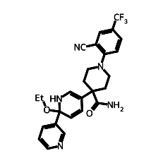 CCOC1(c2cccnc2)C=CC(C2(C(N)=O)CCN(c3ccc(C(F)(F)F)cc3C#N)CC2)=CN1